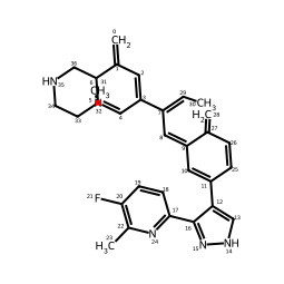 C=C(/C=C(\C=N/C)C(/C=c1/cc(-c2c[nH]nc2-c2ccc(F)c(C)n2)ccc1=C)=C/C)C1CCCNC1